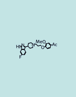 COc1cc(C(C)=O)ccc1OCCCN1CCC(c2n[nH]c3cc(F)ccc23)CC1